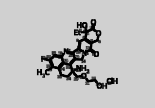 CC[C@@]1(O)C(=O)OCc2c1cc1n(c2=O)Cc2c-1nc1cc(F)c(C)c3c1c2[C@@](N)(COCCO)CC3.Cl